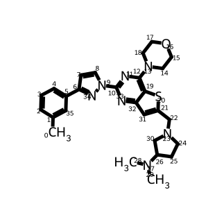 Cc1cccc(-c2ccn(-c3nc(N4CCOCC4)c4sc(CN5CCC(N(C)C)C5)cc4n3)n2)c1